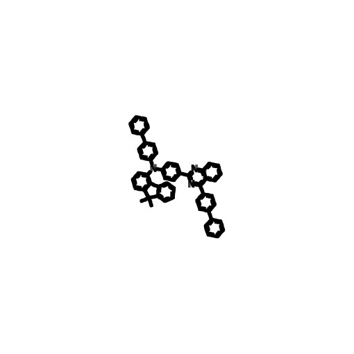 CC1(C)c2ccccc2-c2c(N(c3ccc(-c4ccccc4)cc3)c3ccc(-c4nc(-c5ccc(-c6ccccc6)cc5)c5ccccc5n4)cc3)cccc21